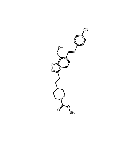 CC(C)(C)OC(=O)N1CCC(CCc2noc3c(CO)c(C=Cc4ccc(C#N)cc4)ccc23)CC1